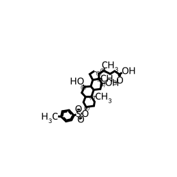 Cc1ccc(S(=O)(=O)O[C@@H]2CC[C@@]3(C)C(C2)C[C@@H](O)C2C3C[C@H](O)[C@@]3(C)C2CC[C@@H]3[C@H](C)CCC(=O)O)cc1